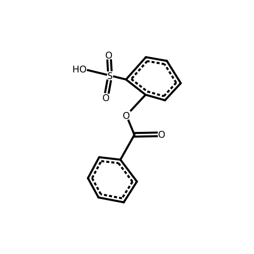 O=C(Oc1ccccc1S(=O)(=O)O)c1ccccc1